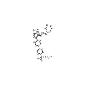 CCOC(=O)C1(c2ccc(-c3ccc(-c4onc(C)c4CNCC4CCCCC4)cc3)cc2)CC1